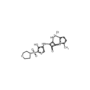 CC[C@@H](Nc1c(Nc2csc(S(=O)(=O)N3CCOCC3)c2O)c(=O)c1=O)c1ccc(C)o1